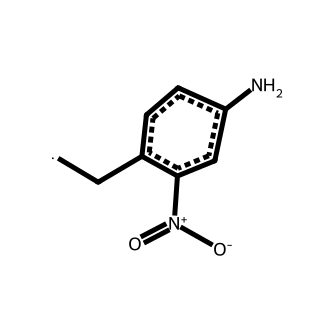 [CH2]Cc1ccc(N)cc1[N+](=O)[O-]